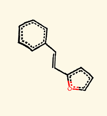 C(=Cc1ccco1)c1ccccc1